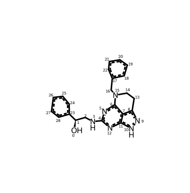 O[C@H](CNc1nc2c3c(n[nH]c3n1)CCN2Cc1ccccc1)c1ccccc1